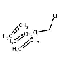 C=C.C=C.C=C.ClCCl